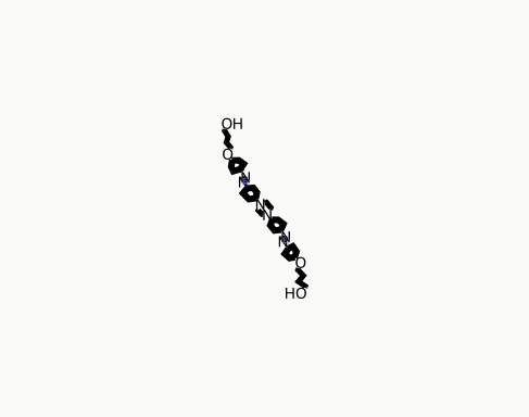 OCCCCOc1ccc(/N=N/c2ccc(N3CCN(c4ccc(/N=N/c5ccc(OCCCCO)cc5)cc4)CC3)cc2)cc1